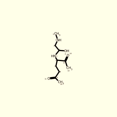 CNCC(O)NC(CCC(C)=O)C(C)=O